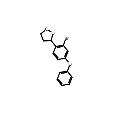 Brc1cc(Oc2ccccc2)ccc1C1CCOO1